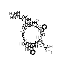 CC(=O)N[C@@H](CCCNC(=N)N)C(=O)NC1CC(=O)NCCCCC(C(=O)O)NC(=O)[C@H](Cc2c[nH]c3ccccc23)NC(=O)[C@H](CCCNC(=N)N)NC(=O)C(Cc2ccccc2)NC(=O)[C@H](CC(N)=O)NC1=O